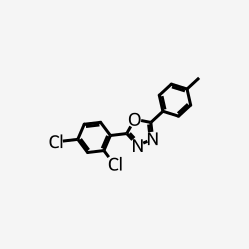 Cc1ccc(-c2nnc(-c3ccc(Cl)cc3Cl)o2)cc1